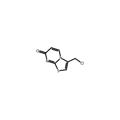 O=c1ccn2c(CCl)csc2n1